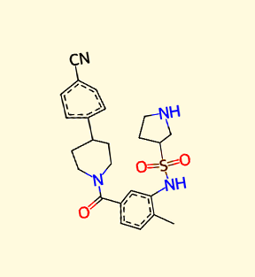 Cc1ccc(C(=O)N2CCC(c3ccc(C#N)cc3)CC2)cc1NS(=O)(=O)C1CCNC1